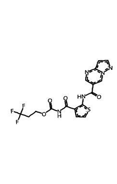 O=C(NC(=O)c1ccsc1NC(=O)c1cnc2ccnn2c1)OCCC(F)(F)F